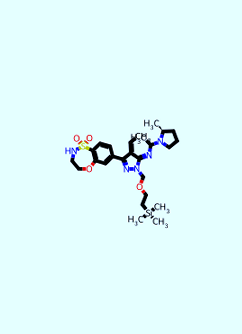 C/C=C1/C(c2ccc3c(c2)OCCNS3(=O)=O)=NN(COCC[Si](C)(C)C)/C1=N/C(C)N1CCC[C@H]1C